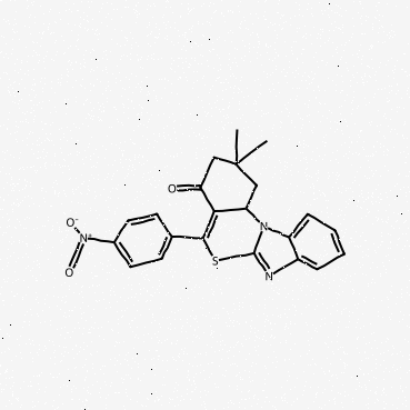 CC1(C)CC(=O)C2=C(c3ccc([N+](=O)[O-])cc3)Sc3nc4ccccc4n3C2C1